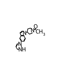 CC(=O)N1CCC(n2ccc3cc(N4C=CCNC4)ccc32)CC1